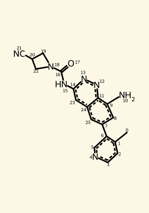 Cc1ccncc1-c1cc(N)c2nnc(NC(=O)N3CC(C#N)C3)cc2c1